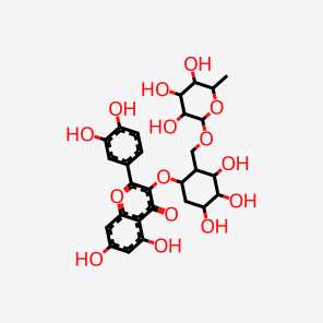 CC1OC(OCC2C(Oc3c(-c4ccc(O)c(O)c4)oc4cc(O)cc(O)c4c3=O)CC(O)C(O)C2O)C(O)C(O)C1O